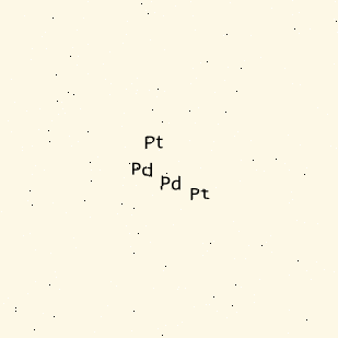 [Pd].[Pd].[Pt].[Pt]